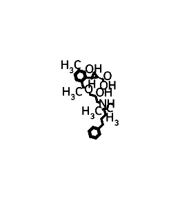 Cc1ccc([C@@H](C)OCC(O)CNC(C)(C)CCCc2ccccc2)c2c1O[C@@H]1[C@@H](C(=O)O)[C@H]21